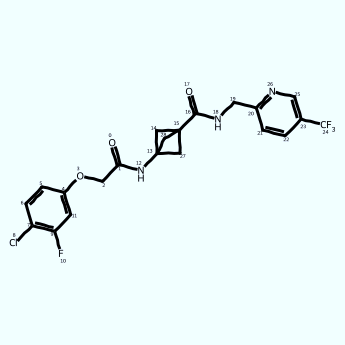 O=C(COc1ccc(Cl)c(F)c1)NC12CC(C(=O)NCc3ccc(C(F)(F)F)cn3)(C1)C2